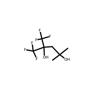 CC(C)(O)CC(O)(C(F)(F)F)C(F)(F)F